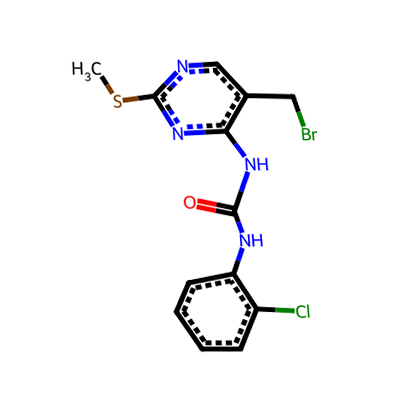 CSc1ncc(CBr)c(NC(=O)Nc2ccccc2Cl)n1